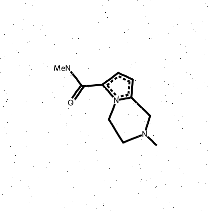 CNC(=O)c1ccc2n1CCN(C)C2